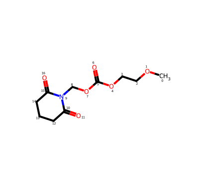 COCCOC(=O)OCN1C(=O)CCCC1=O